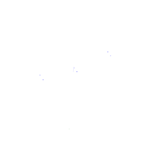 CCC[n+]1cn(-c2ccccn2)c2ccccc21.[Cl-]